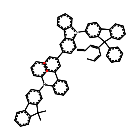 C=C/C=C(\C=C/C)C1(c2ccccc2)c2ccccc2-c2ccc(-n3c4ccccc4c4cc(-c5cccc(-c6ccccc6N(c6ccccc6)c6ccc7c(c6)C(C)(C)c6ccccc6-7)c5)ccc43)cc21